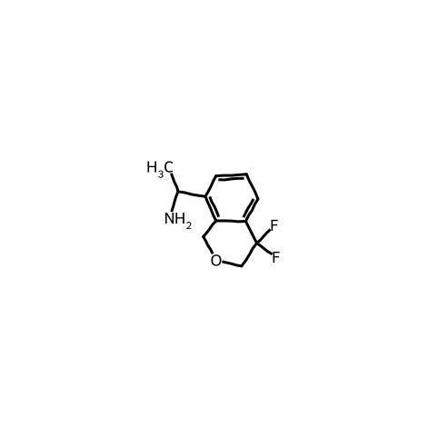 CC(N)c1cccc2c1COCC2(F)F